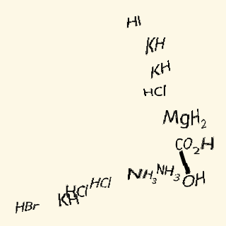 Br.Cl.Cl.Cl.I.N.N.O=C(O)O.[KH].[KH].[KH].[MgH2]